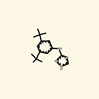 CC(C)(C)c1cc(Nc2nc[nH]n2)cc(C(C)(C)C)c1